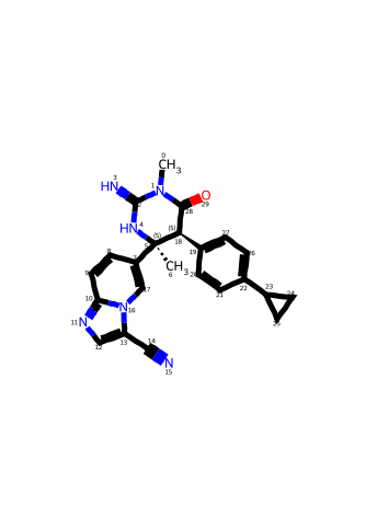 CN1C(=N)N[C@](C)(c2ccc3ncc(C#N)n3c2)[C@H](c2ccc(C3CC3)cc2)C1=O